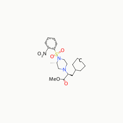 COC(=O)[C@H](CC1CCCCC1)N1CCN(S(=O)(=O)c2ccccc2[N+](=O)[O-])[C@@H](C)C1